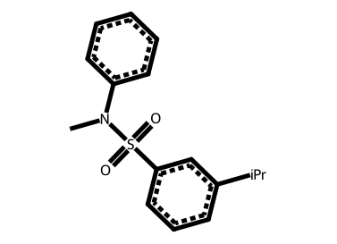 CC(C)c1cccc(S(=O)(=O)N(C)c2ccccc2)c1